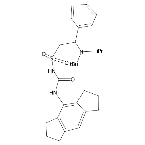 CC(C)N(C(CS(=O)(=O)NC(=O)Nc1c2c(cc3c1CCC3)CCC2)c1ccccc1)C(C)(C)C